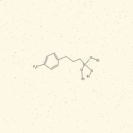 CCO[Si](CCCc1ccc(C(F)(F)F)cc1)(OCC)OCC